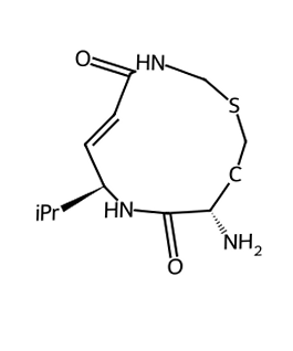 CC(C)[C@H]1/C=C/C(=O)NCSCC[C@H](N)C(=O)N1